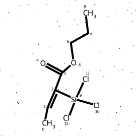 CC=C(C(=O)OCCC)[Si](Cl)(Cl)Cl